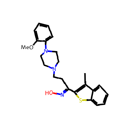 COc1ccccc1N1CCN(CCC(=NO)c2sc3ccccc3c2C)CC1